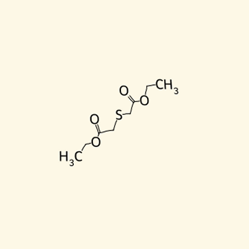 CCOC(=O)CSCC(=O)OCC